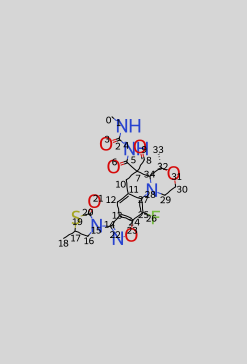 CNC(=O)NC(=O)C1(C=O)Cc2cc3c(N4CC(C)SC4=O)noc3c(F)c2N2CCO[C@@H](C)C21